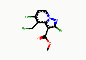 COC(=O)c1c(Br)nn2ccc(Cl)c(CBr)c12